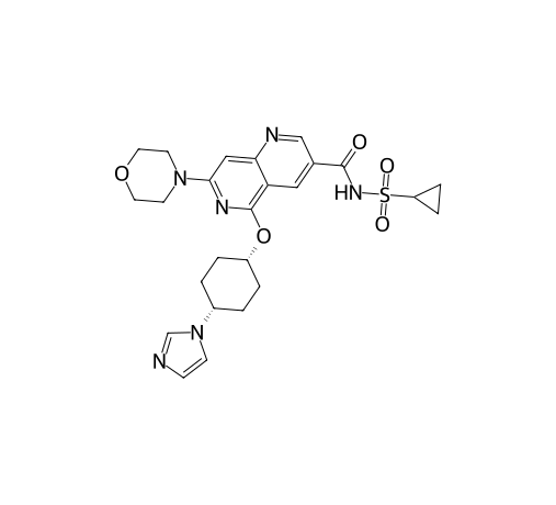 O=C(NS(=O)(=O)C1CC1)c1cnc2cc(N3CCOCC3)nc(O[C@H]3CC[C@@H](n4ccnc4)CC3)c2c1